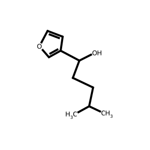 CC(C)CCC(O)c1ccoc1